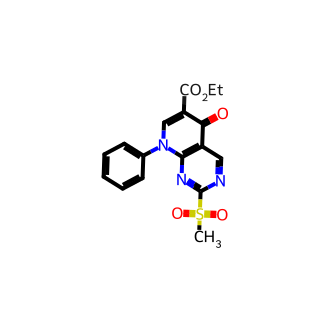 CCOC(=O)c1cn(-c2ccccc2)c2nc(S(C)(=O)=O)ncc2c1=O